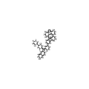 c1ccc(-c2ccc(N(c3cccc(-c4ccc5c(c4)c4ccccc4n5-c4cccc5oc6ccccc6c45)c3)c3ccc4ccccc4c3)cc2)cc1